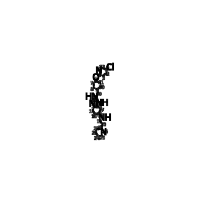 Clc1ccc(Oc2ccc(CNc3nc4ccc(NCCc5ccccn5)cc4[nH]3)cc2)nc1